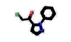 O=C(CCl)c1ccnn1-c1ccccc1